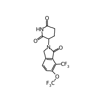 O=C1CCC(N2Cc3ccc(OC(F)(F)F)c(C(F)(F)F)c3C2=O)C(=O)N1